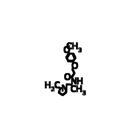 C=C1CCCN1C[C@H](C)NC(=O)CCOc1ccc(OC)cc1